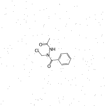 CC(=O)NN(CCl)C(=O)c1ccccc1